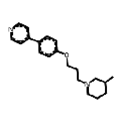 CC1CCCN(CCCOc2ccc(-c3ccncc3)cc2)C1